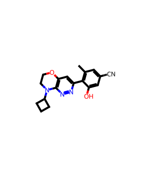 Cc1cc(C#N)cc(O)c1-c1cc2c(nn1)N(C1CCC1)CCO2